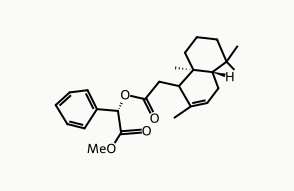 COC(=O)[C@@H](OC(=O)CC1C(C)=CC[C@H]2C(C)(C)CCC[C@]12C)c1ccccc1